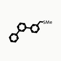 CSCc1cccc(-c2cccc(-c3ccccc3)c2)c1